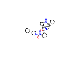 O=C(N[C@@H]1CCCC[C@@H]1C(=O)N1CC[C@@H]2[C@H](C3C=CC=CC3)Nc3ccccc3[C@@H]21)N1CCC(c2ccccc2)CC1